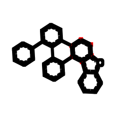 c1ccc(-c2cccc(-c3ccccc3)c2-c2ccccc2-c2cccc3oc4ccccc4c23)cc1